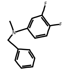 CN(Cc1ccccc1)c1ccc(F)c(F)c1